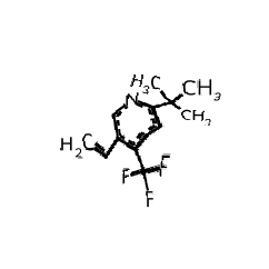 C=Cc1cnc(C(C)(C)C)cc1C(F)(F)F